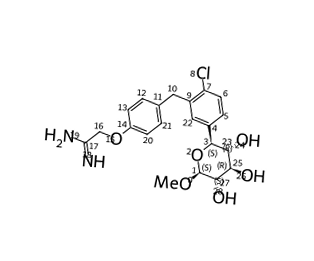 CO[C@H]1O[C@@H](c2ccc(Cl)c(Cc3ccc(OCC(=N)N)cc3)c2)[C@H](O)[C@@H](O)[C@@H]1O